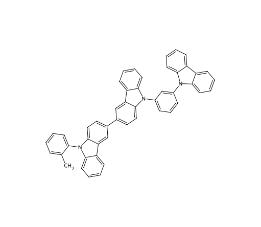 Cc1ccccc1-n1c2ccccc2c2cc(-c3ccc4c(c3)c3ccccc3n4-c3cccc(-n4c5ccccc5c5ccccc54)c3)ccc21